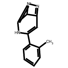 Cc1ccccc1C1=[C]C2=N[N+]3=C(N1)C23